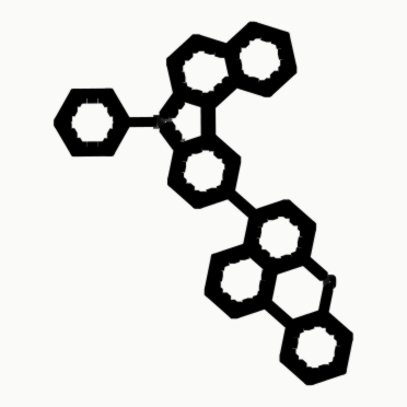 c1ccc(-n2c3ccc(-c4ccc5c6c(cccc46)-c4ccccc4O5)cc3c3c4ccccc4ccc32)cc1